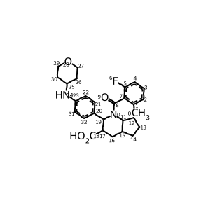 Cc1cccc(F)c1C(=O)N1C2CCCC2CC(C(=O)O)C1c1ccc(NC2CCOCC2)cc1